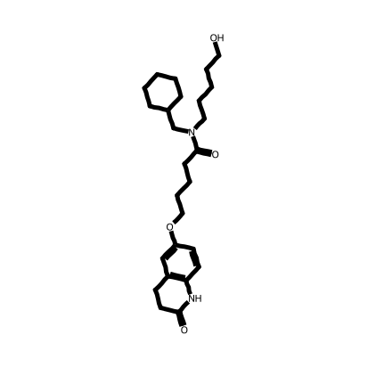 O=C1CCc2cc(OCCCCC(=O)N(CCCCCO)CC3CCCCC3)ccc2N1